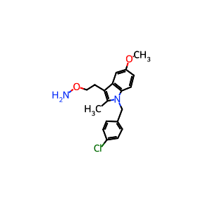 COc1ccc2c(c1)c(CCON)c(C)n2Cc1ccc(Cl)cc1